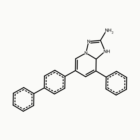 NC1=NN2C=C(c3ccc(-c4ccccc4)cc3)C=C(c3ccccc3)C2N1